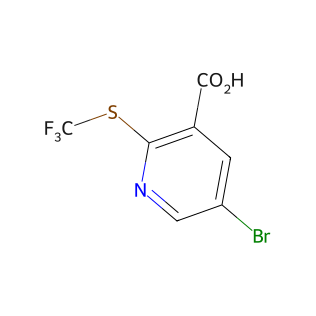 O=C(O)c1cc(Br)cnc1SC(F)(F)F